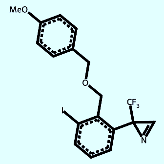 COc1ccc(COCc2c(I)cccc2C2(C(F)(F)F)C=N2)cc1